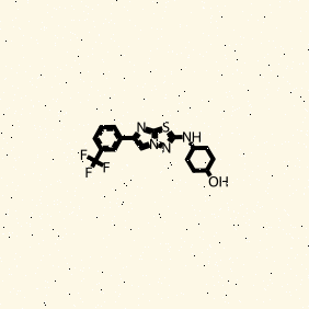 OC1CCC(Nc2nn3cc(-c4cccc(C(F)(F)F)c4)nc3s2)CC1